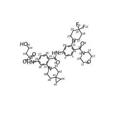 O=C(Nc1ccc(C(=O)N2CCOCC2)c(N2CCC(F)(F)CC2)c1)c1ccc(NS(=O)(=O)CCO)cc1N1CCC2(CC1)CC2